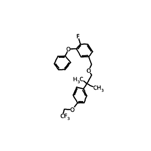 CC(C)(COCc1ccc(F)c(Oc2ccccc2)c1)c1ccc(OCC(F)(F)F)cc1